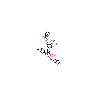 O=C(CSc1cc(-c2nn(CC(O)CN3CC4CCCC4C3)c3c2CNCC3)ccc1C(F)(F)F)N1CCCC1